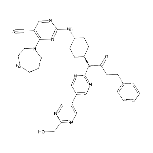 N#Cc1cnc(N[C@H]2CC[C@H](N(C(=O)CCc3ccccc3)c3ncc(-c4cnc(CO)nc4)cn3)CC2)nc1N1CCCNCC1